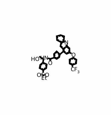 CCS(=O)(=O)c1ccc(C(CO)NC(=O)c2ccc(-c3cc(Oc4ccc(C(F)(F)F)cc4)cc4nc5ccccc5cc34)cc2)cc1